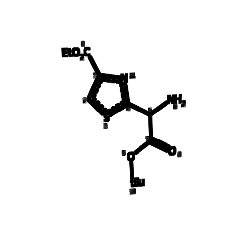 CCOC(=O)c1csc(C(N)C(=O)OC(C)(C)C)n1